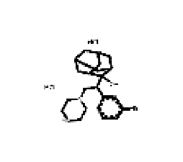 Cl.Cl.OC1(C(CN2CCNCC2)c2cccc(Br)c2)C2CC3CC(C2)CC1C3